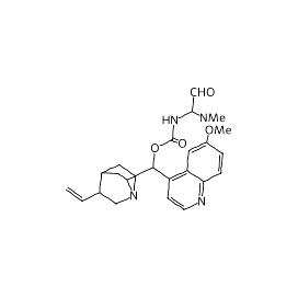 C=CC1CN2CCC1CC2C(OC(=O)NC(C=O)NC)c1ccnc2ccc(OC)cc12